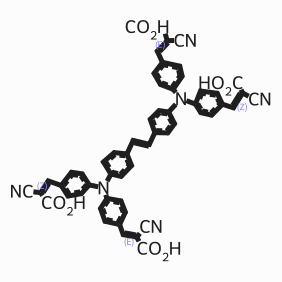 N#C/C(=C/c1ccc(N(c2ccc(C=Cc3ccc(N(c4ccc(/C=C(/C#N)C(=O)O)cc4)c4ccc(/C=C(\C#N)C(=O)O)cc4)cc3)cc2)c2ccc(/C=C(\C#N)C(=O)O)cc2)cc1)C(=O)O